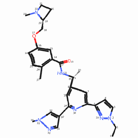 CCn1ccc(-c2cc([C@@H](C)NC(=O)c3cc(OC[C@@H]4CCN4C)ccc3C)cc(-c3cnn(C)c3)n2)n1